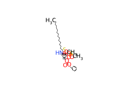 CCCCCCCCCCCCCCCC(=S)N[C@@H]1C[C@H](COC(=O)OCc2ccccc2)C(OP(O)(=S)OC)[C@@H]1OC